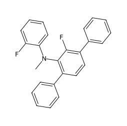 CN(c1ccccc1F)c1c(-c2ccccc2)ccc(-c2ccccc2)c1F